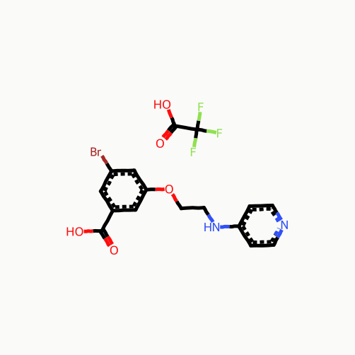 O=C(O)C(F)(F)F.O=C(O)c1cc(Br)cc(OCCNc2ccncc2)c1